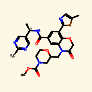 Cc1cnc(-c2cc(C(=O)N[C@H](C)c3cnc(C(F)(F)F)nc3)cc3c2OCC(=O)N3CC2CN(C(=O)OC(C)(C)C)CCO2)s1